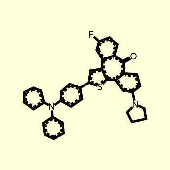 O=c1c2ccc(F)cc2c2cc(-c3ccc(N(c4ccccc4)c4ccccc4)cc3)sc2c2cc(N3CCCC3)ccc12